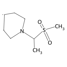 CC(N1CC[CH]CC1)S(C)(=O)=O